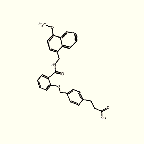 COc1ccc(CNC(=O)c2ccccc2OCc2ccc(CCC(=O)O)cc2)c2ccccc12